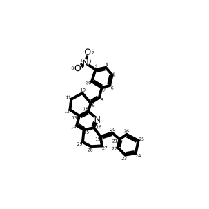 O=[N+]([O-])c1cccc(C=C2CCCc3cc4c(nc32)C(=Cc2ccccc2)CCC4)c1